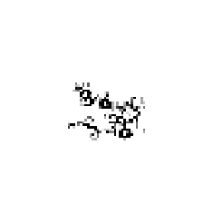 COc1ccc2c(Oc3ccc(NC(=O)c4c(C)n(C[C@H](C)OC(=O)[C@H](C)N)n(-c5ccccc5)c4=O)cc3F)ccnc2c1.O=C(O)C=CC(=O)O